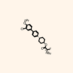 CCCC[C@H](F)C(=O)O[C@H]1CC[C@H](c2ccc(-c3ccc(OCCC)c(Cl)c3)cc2)CC1